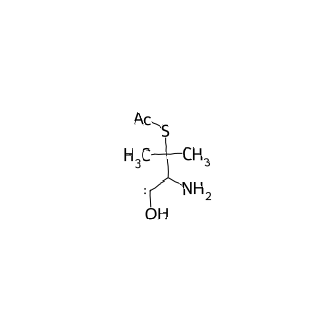 CC(=O)SC(C)(C)C(N)[C]O